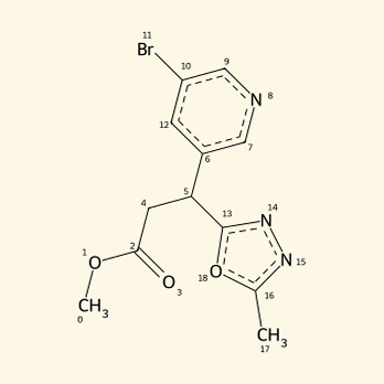 COC(=O)CC(c1cncc(Br)c1)c1nnc(C)o1